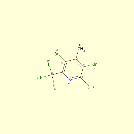 Cc1c(Br)c(N)nc(C(F)(F)F)c1Br